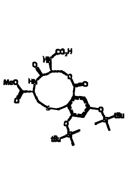 COC(=O)[C@@H]1CSCc2c(O[Si](C)(C)C(C)(C)C)cc(O[Si](C)(C)C(C)(C)C)cc2C(=O)OC[C@H](NC(=O)O)C(=O)N1